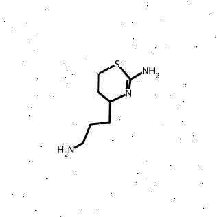 NCCCC1CCSC(N)=N1